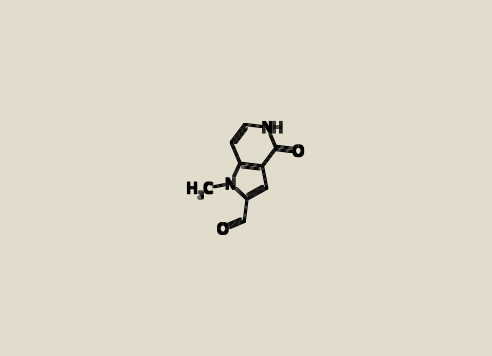 Cn1c(C=O)cc2c(=O)[nH]ccc21